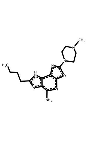 CCCCc1nc2c(N)nc3oc(N4CCN(C)CC4)nc3c2[nH]1